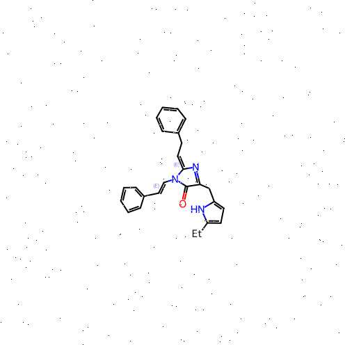 CCc1ccc(CC2=N/C(=C\Cc3ccccc3)N(/C=C/c3ccccc3)C2=O)[nH]1